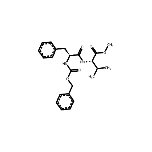 COC(=O)[C@@H](NC(=O)[C@H](Cc1ccccc1)NC(=O)OCc1ccccc1)C(C)C